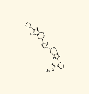 CC(C)(C)OC(=O)N1CCC[C@H]1c1nc2ccc(-c3ccc(-c4ccc5nc(C6CCCC6)[nH]c5c4)s3)cc2[nH]1